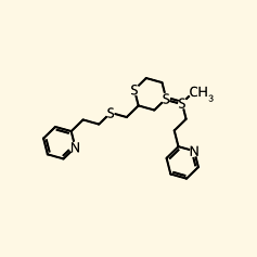 CS(CCc1ccccn1)=S1CCSC(CSCCc2ccccn2)C1